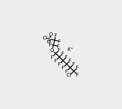 O=S(=O)([O-])C(F)(F)C(F)(F)OC(F)(F)C(F)(F)C(F)(F)C(F)(F)C(F)(F)C(F)(F)Cl.[K+]